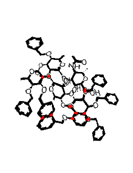 CC(=O)NC1[C@H](C)OC(CO)[C@@H](O)[C@@H]1O[C@@H]1OC(C)[C@H](OCc2ccccc2)[C@H](O[C@@H]2OC(C)[C@H](OCc3ccccc3)[C@H](OCc3ccccc3)C2O[C@@H]2OC(C)[C@H](OCc3ccccc3)[C@H](O[C@H]3O[C@@H](COCc4ccccc4)[C@@H](OCc4ccccc4)C(OCc4ccccc4)C3OCc3ccccc3)C2O)C1OC(C)=O